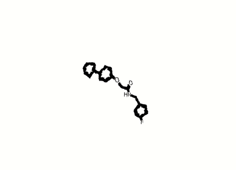 O=C(COc1ccc(-c2ccccc2)cc1)NCc1ccc(F)cc1